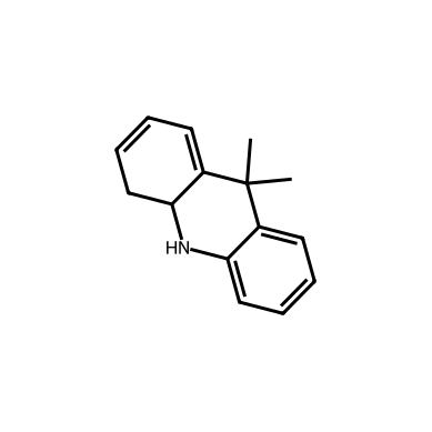 CC1(C)C2=CC=CCC2Nc2ccccc21